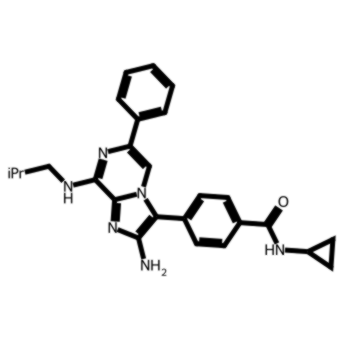 CC(C)CNc1nc(-c2ccccc2)cn2c(-c3ccc(C(=O)NC4CC4)cc3)c(N)nc12